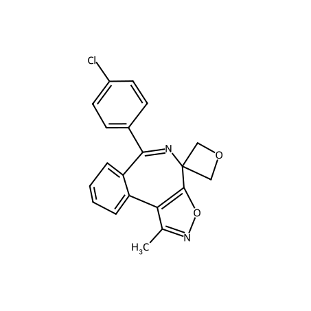 Cc1noc2c1-c1ccccc1C(c1ccc(Cl)cc1)=NC21COC1